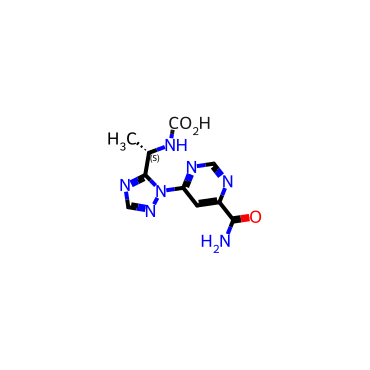 C[C@H](NC(=O)O)c1ncnn1-c1cc(C(N)=O)ncn1